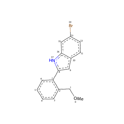 COCc1ccccc1-c1cc2ccc(Br)cc2[nH]1